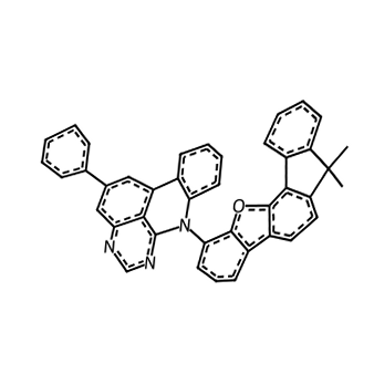 CC1(C)c2ccccc2-c2c1ccc1c2oc2c(N3c4ccccc4-c4cc(-c5ccccc5)cc5ncnc3c45)cccc21